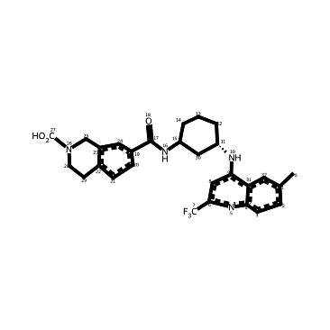 Cc1ccc2nc(C(F)(F)F)cc(N[C@H]3CCCC(NC(=O)c4ccc5c(c4)CN(C(=O)O)CC5)C3)c2c1